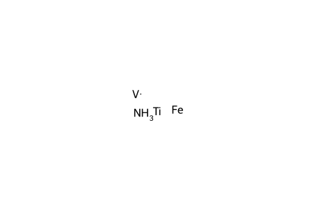 N.[Fe].[Ti].[V]